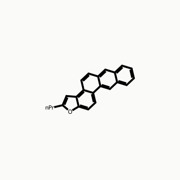 CCCc1cc2c(ccc3c4cc5ccccc5cc4ccc23)o1